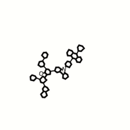 c1ccc(-c2cccc(-c3cc(-c4ccc5c(c4)c4ccccc4n5-c4ccc(-c5c6ccccc6c(-c6ccccc6)c6ccccc56)cc4)cc4c3oc3c(-c5ccccc5)cc(-c5ccc6ccccc6c5)cc34)c2)cc1